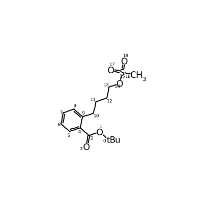 CC(C)(C)OC(=O)c1ccccc1CCCCOS(C)(=O)=O